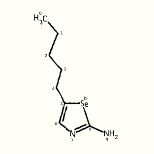 CCCCCc1cnc(N)[se]1